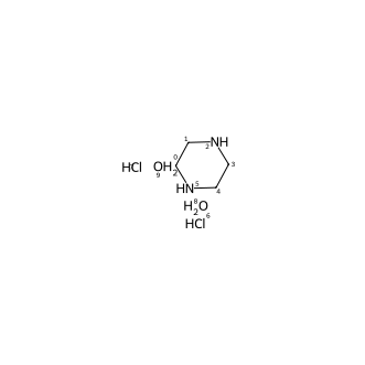 C1CNCCN1.Cl.Cl.O.O